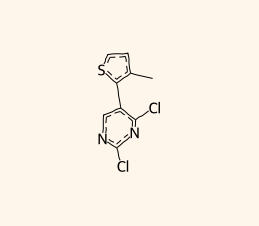 Cc1ccsc1-c1cnc(Cl)nc1Cl